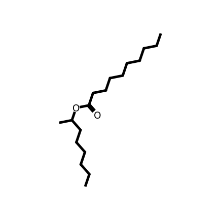 CCCCCCCCCC(=O)OC(C)CCCCCC